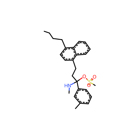 CCCCc1ccc(CCC(NC)(OS(C)(=O)=O)c2cccc(C)c2)c2ccccc12